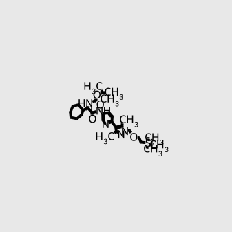 Cc1nn(COCC[Si](C)(C)C)c(C)c1-c1ccc(NC(=O)[C@@H](NC(=O)OC(C)(C)C)C2CCCCCC2)cn1